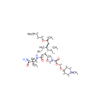 C=C(/C=C(\C)C[C@H](C)C[C@H]1[C@H](C[C@H](C(=O)NCC(C)(C)C(N)=O)C(C)C)OCN1C(=O)OCOC1CCN(C)CC1)OCCCOC